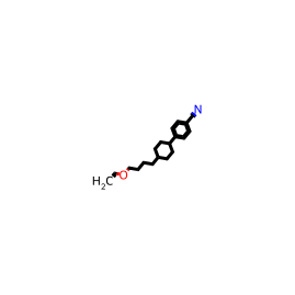 C=COCCCCC1CCC(c2ccc(C#N)cc2)CC1